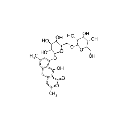 Cc1cc(O[C@@H]2O[C@H](COC3OC(CO)[C@@H](O)C(O)[C@H]3O)C(O)[C@H](O)C2O)c2c(O)c3c(=O)oc(C)cc3cc2c1